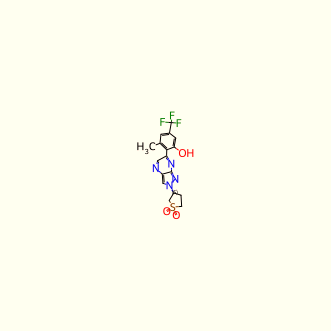 Cc1cc(C(F)(F)F)cc(O)c1-c1cnc2cn([C@H]3CCS(=O)(=O)C3)nc2n1